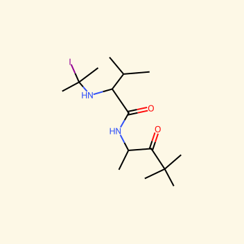 CC(NC(=O)C(NC(C)(C)I)C(C)C)C(=O)C(C)(C)C